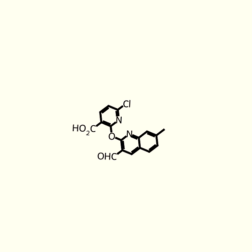 Cc1ccc2cc(C=O)c(Oc3nc(Cl)ccc3C(=O)O)nc2c1